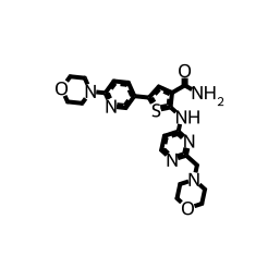 NC(=O)c1cc(-c2ccc(N3CCOCC3)nc2)sc1Nc1ccnc(CN2CCOCC2)n1